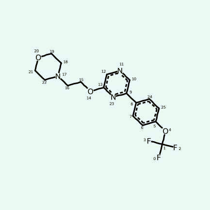 FC(F)(F)Oc1ccc(-c2cncc(OCCN3CCOCC3)n2)cc1